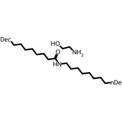 CCCCCCCCCCCCCCCCCCNC(=O)CCCCCCCCCCCCCCCCC.NCCO